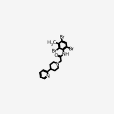 Cc1c(Br)cc(Br)c(NC(=O)CN2CCC(c3ccccn3)CC2)c1Br